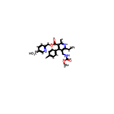 Cc1ccc(-c2c(CNC(=O)OC(C)(C)C)c(CC(C)C)nc(C)c2C(=O)OCc2ccc(C(=O)O)cn2)cc1